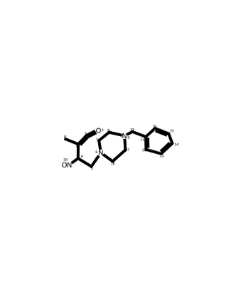 CC(=C=O)C(CN1CCN(Cc2ccccc2)CC1)N=O